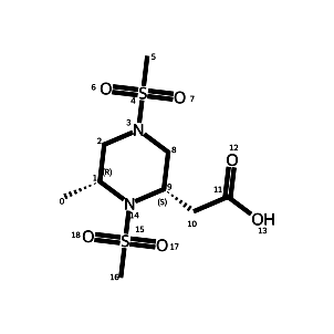 C[C@@H]1CN(S(C)(=O)=O)C[C@H](CC(=O)O)N1S(C)(=O)=O